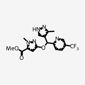 COC(=O)c1cc(OC(c2ccc(C(F)(F)F)cn2)c2c[nH]nc2C)nn1C